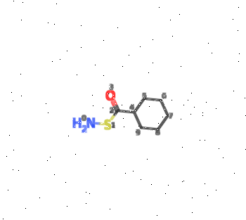 NSC(=O)C1CCCCC1